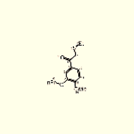 CCCOc1cc(C(=O)CSCC)ccc1OC